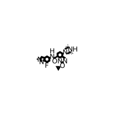 C[C@@H]1CN(c2ccc(C(=O)Nc3cc(F)c4nn(C)cc4c3)c3nc(OC4CC4)ncc23)C[C@H](C)N1